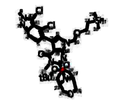 Cn1nc2ccc(-c3cn(COCC[Si](C)(C)C)c4nc(N5CC6COCC(C5)N6C(=O)OC(C)(C)C)n(C)c(=O)c34)c(Cl)c2c1Cl